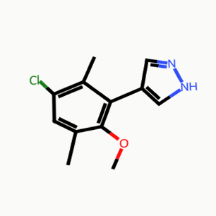 COc1c(C)cc(Cl)c(C)c1-c1cn[nH]c1